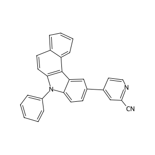 N#Cc1cc(-c2ccc3c(c2)c2c4ccccc4ccc2n3-c2ccccc2)ccn1